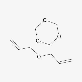 C1OCOCO1.C=CCOCC=C